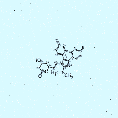 CC(C)c1nc(-c2ccc(F)cc2)c(-c2ccc(F)cc2)n1C=C[C@@H]1C[C@@H](O)CC(=O)O1